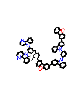 CC(CCCc1ccc2oc3ccc(-c4ccc5c(c4)c4ccccc4n5-c4cccc(-n5c6ccccc6c6cc(-c7ccc8oc9ccccc9c8c7)ccc65)c4)cc3c2c1)Cc1cc(-n2c3ccccc3c3ncccc32)cc(-n2c3ccccc3c3ncccc32)c1